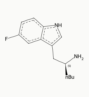 CCCC[C@H](N)Cc1c[nH]c2ccc(F)cc12